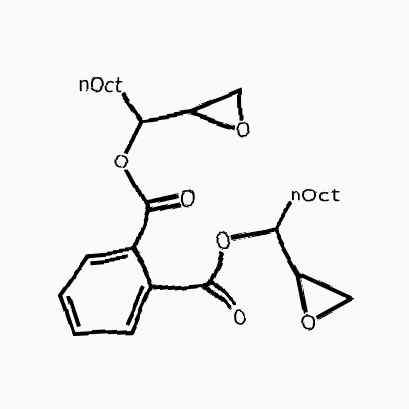 CCCCCCCCC(OC(=O)c1ccccc1C(=O)OC(CCCCCCCC)C1CO1)C1CO1